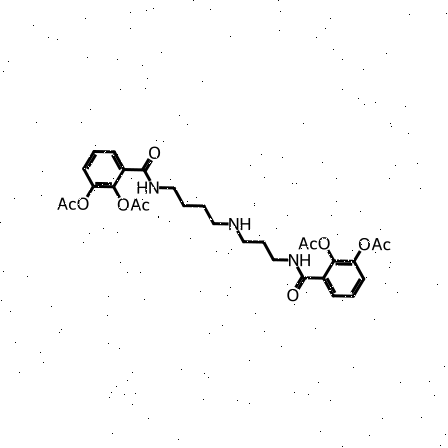 CC(=O)Oc1cccc(C(=O)NCCCCNCCCNC(=O)c2cccc(OC(C)=O)c2OC(C)=O)c1OC(C)=O